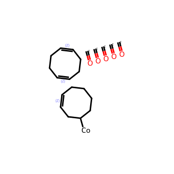 C1=C\CC/C=C\CC/1.[C]=O.[C]=O.[C]=O.[C]=O.[C]=O.[Co][CH]1C/C=C\CCCC1